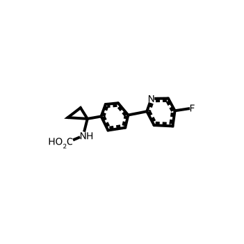 O=C(O)NC1(c2ccc(-c3ccc(F)cn3)cc2)CC1